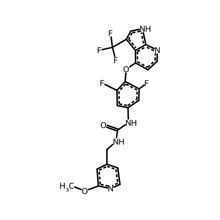 COc1cc(CNC(=O)Nc2cc(F)c(Oc3ccnc4[nH]cc(C(F)(F)F)c34)c(F)c2)ccn1